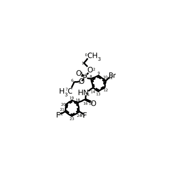 CCOP(=O)(OCC)c1cc(Br)ccc1NC(=O)c1ccc(F)cc1F